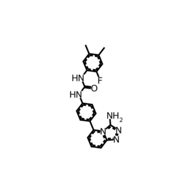 Cc1cc(F)c(NC(=O)Nc2ccc(-c3cccc4nnc(N)n34)cc2)cc1C